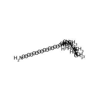 Cc1cc(NC(=O)c2nc(NC(=O)CCNC(=O)c3cc(NC(=O)c4nc(NC(=O)COCCOCCOCCOCCOCCOCCOCCOCCOCCOCCOCCOCCOCCOCCOCCN)cn4C)cn3C)cn2C)cn1C